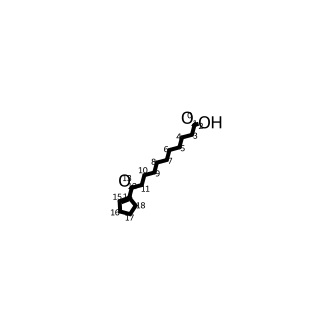 O=C(O)CCCCCCCCCC(=O)C1=CCCC1